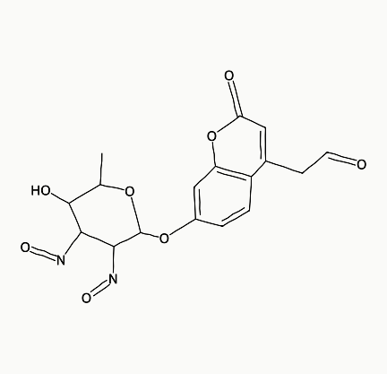 CC1OC(Oc2ccc3c(CC=O)cc(=O)oc3c2)C(N=O)C(N=O)C1O